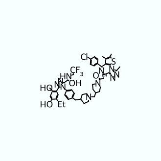 CCc1cc(-c2nnc(C(O)NCC(F)(F)F)n2-c2ccc(CC3CCN(CC4CCN(C(=O)C[C@@H]5N=C(c6ccc(Cl)cc6)c6c(sc(C)c6C)-n6c(C)nnc65)CC4)CC3)cc2)c(O)cc1O